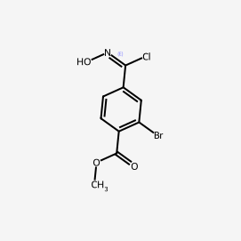 COC(=O)c1ccc(/C(Cl)=N\O)cc1Br